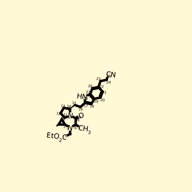 CCOC(=O)CN(C1CC1)C(C)C(=O)N1CCC[C@H]1CCc1cc2ccc(CCC#N)cc2[nH]1